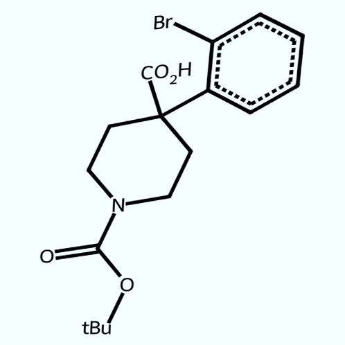 CC(C)(C)OC(=O)N1CCC(C(=O)O)(c2ccccc2Br)CC1